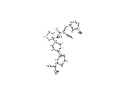 N#C/C(=C\c1cccc(Br)n1)C(=O)NC1(c2ccc(-c3cccc(C(=O)O)c3)cc2)CCCC1